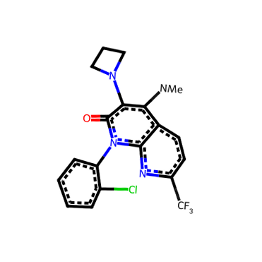 CNc1c(N2CCC2)c(=O)n(-c2ccccc2Cl)c2nc(C(F)(F)F)ccc12